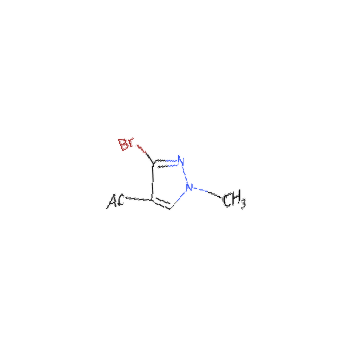 CC(=O)c1cn(C)nc1Br